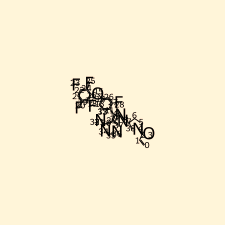 C=CC(=O)N1CC[C@H](n2nc(-c3ccc(Oc4c(F)c(F)cc(F)c4F)cc3F)c3c(N(C)C)ncnc32)C1